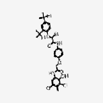 CCC(Oc1ccc(C(C)(C)CC)cc1C(C)(C)CC)C(=O)Nc1ccc(OCC(=O)Nc2cc(Cl)c(C)c(Cl)c2O)cc1